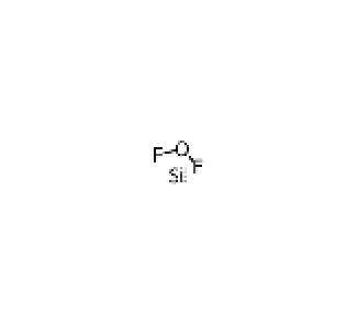 FOF.[Si]